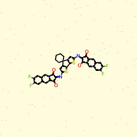 O=c1c(=Nc2cc3c(s2)-c2sc(N=c4c(=O)c5cc6cc(F)c(F)cc6cc5c4=O)cc2C32CCCCC2)c(=O)c2cc3cc(F)c(F)cc3cc12